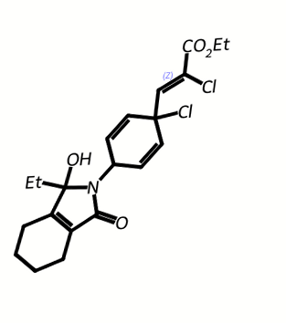 CCOC(=O)/C(Cl)=C/C1(Cl)C=CC(N2C(=O)C3=C(CCCC3)C2(O)CC)C=C1